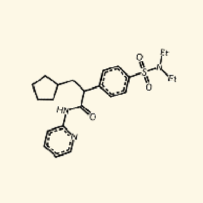 CCN(CC)S(=O)(=O)c1ccc(C(CC2CCCC2)C(=O)Nc2ccccn2)cc1